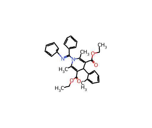 CCOC(=O)C1=C(C)N(C(=Nc2ccccc2)c2ccccc2)C(C)=C(C(=O)OCC)C1c1ccccc1C